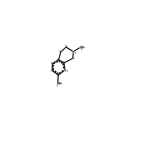 CC(C)(C)c1ccc2c(n1)CN(C(C)(C)C)CC2